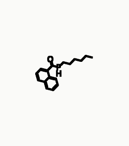 CCCCCCPC(=O)c1cccc2ccccc12